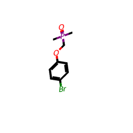 CP(C)(=O)COc1ccc(Br)cc1